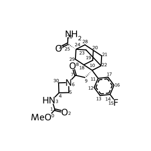 COC(=O)NC1CN(C(=O)C[C@]2(c3ccc(F)cc3)C3CC4CC2C[C@](C(N)=O)(C4)C3)C1